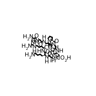 CC(C)[C@H](NC(=O)[C@H](CC(=O)O)NC(=O)CNC(=O)[C@@H]1CCCN1C(=O)[C@H](C)NC(=O)CNC(=O)CN)C(=O)N[C@@H](CCCCN)C(=O)N[C@@H](CCCNC(=N)N)C(=O)O